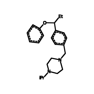 [CH2]CC(Oc1ccccc1)c1ccc(CN2CCN(C(C)C)CC2)cc1